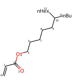 C=CC(=O)OCCCCCC(CCCC)CCCCCC